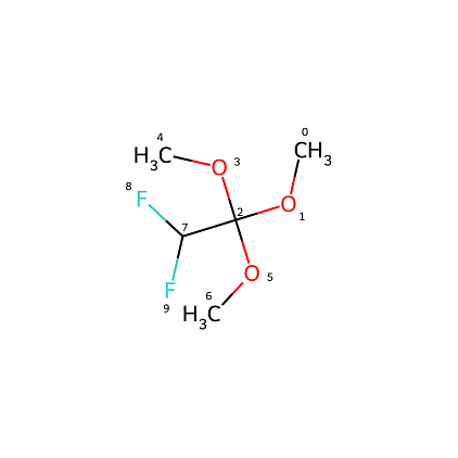 COC(OC)(OC)C(F)F